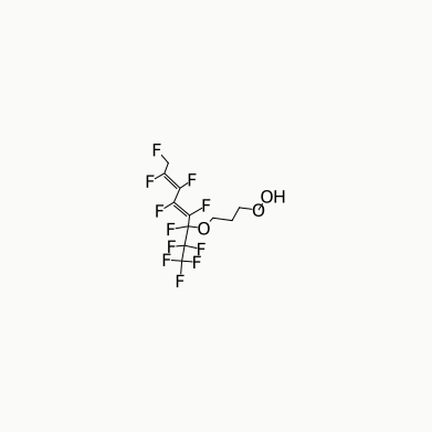 OOCCCOC(F)(/C(F)=C(F)/C(F)=C(\F)CF)C(F)(F)C(F)(F)F